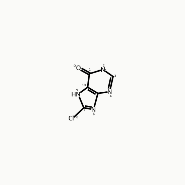 O=C1[N]C=Nc2nc(Cl)[nH]c21